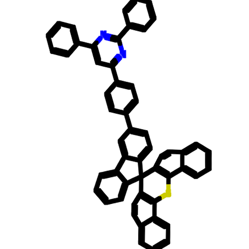 c1ccc(-c2cc(-c3ccc(-c4ccc5c(c4)-c4ccccc4C54c5ccc6ccccc6c5Sc5c4ccc4ccccc54)cc3)nc(-c3ccccc3)n2)cc1